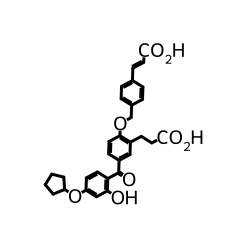 O=C(O)C=Cc1ccc(COc2ccc(C(=O)c3ccc(OC4CCCC4)cc3O)cc2CCC(=O)O)cc1